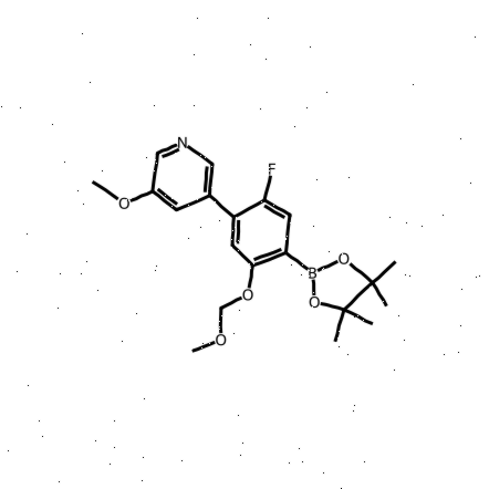 COCOc1cc(-c2cncc(OC)c2)c(F)cc1B1OC(C)(C)C(C)(C)O1